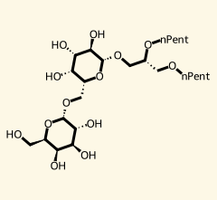 CCCCCOC[C@H](CO[C@@H]1O[C@H](CO[C@H]2O[C@H](CO)[C@H](O)[C@H](O)[C@H]2O)[C@H](O)[C@H](O)[C@H]1O)OCCCCC